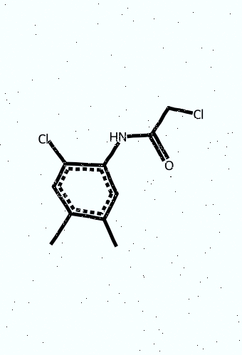 Cc1cc(Cl)c(NC(=O)CCl)cc1C